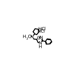 CN(CC1CNC(c2ccccc2)=NO1)C1CCCCC1.Cl.Cl